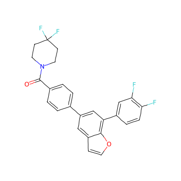 O=C(c1ccc(-c2cc(-c3ccc(F)c(F)c3)c3occc3c2)cc1)N1CCC(F)(F)CC1